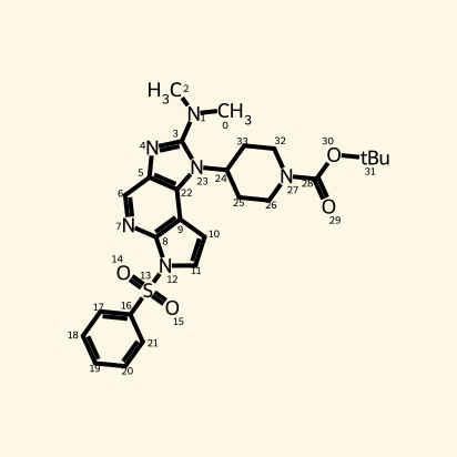 CN(C)c1nc2cnc3c(ccn3S(=O)(=O)c3ccccc3)c2n1C1CCN(C(=O)OC(C)(C)C)CC1